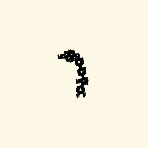 O[C@@H]1CO[C@H]2[C@@H]1OC[C@@H]2Oc1ccc(-c2ccc(-c3nnc(-c4ccc(F)c(F)c4)[nH]3)cn2)cn1